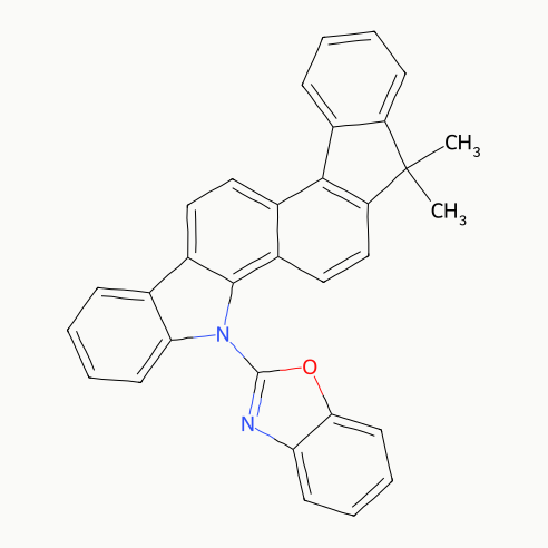 CC1(C)c2ccccc2-c2c1ccc1c2ccc2c3ccccc3n(-c3nc4ccccc4o3)c12